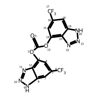 O=C(Oc1cc(C(F)(F)F)cc2[nH]nnc12)Oc1cc(C(F)(F)F)cc2[nH]nnc12